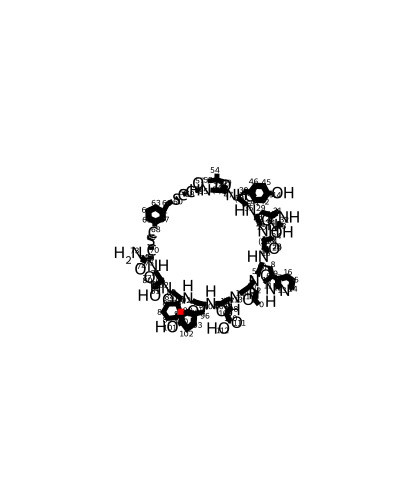 CCC[C@@H]1NC(=O)[C@H](CC2CNc3ncccc32)NC(=O)[C@H]([C@@H](C)O)NC(=O)[C@H](Cc2c[nH]cn2)NC(=O)[C@H](Cc2ccc(O)cc2)NC(=O)[C@H](C(C)(C)C)NC(=O)CCSCc2cccc(c2)CSC[C@H](C(N)=O)NC(=O)[C@H]([C@@H](C)O)NC(=O)[C@H](C2CCCCC2)NC(=O)[C@H](Cc2ccc(O)cc2)NC(=O)[C@H](CCC(=O)O)NC1=O